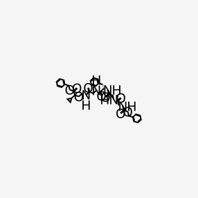 O=C(CNC(=O)OCc1ccccc1)NCC(=O)N[C@@H](Cc1ccccc1)C(=O)NCC(=O)NCOC(C(=O)OCc1ccccc1)C1CC1